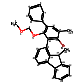 COCOc1c(-c2ccccc2)cc(C)c(Br)c1-c1cccc2c1C(C)c1ccccc1-2